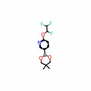 CC1(C)COB(c2ccc(OC(F)C(F)F)nc2)OC1